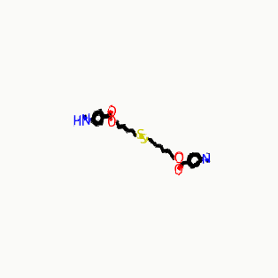 CNc1ccc(C(=O)OCCCCCCSSCCCCCCOC(=O)c2ccc(N(C)C)cc2)cc1